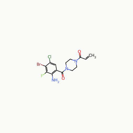 C=CC(=O)N1CCN(C(=O)c2cc(Cl)c(Br)c(F)c2N)CC1